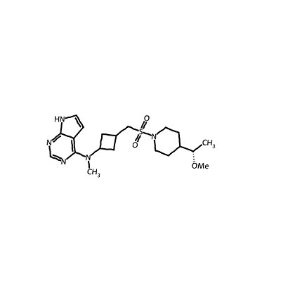 CO[C@@H](C)C1CCN(S(=O)(=O)CC2CC(N(C)c3ncnc4[nH]ccc34)C2)CC1